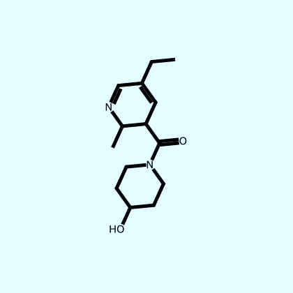 CCC1=CC(C(=O)N2CCC(O)CC2)C(C)N=C1